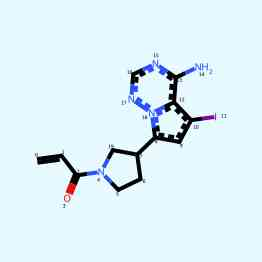 C=CC(=O)N1CCC(c2cc(I)c3c(N)ncnn23)C1